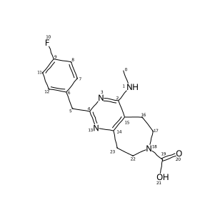 CNc1nc(Cc2ccc(F)cc2)nc2c1CCN(C(=O)O)CC2